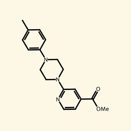 COC(=O)c1ccnc(N2CCN(c3ccc(C)cc3)CC2)c1